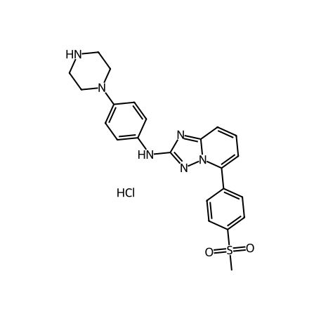 CS(=O)(=O)c1ccc(-c2cccc3nc(Nc4ccc(N5CCNCC5)cc4)nn23)cc1.Cl